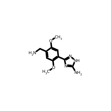 COc1cc(-c2n[nH]c(N)n2)c(OC)cc1CN